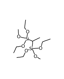 CCO[Si](OC)(OCC)C(C)[Si](OC)(OCC)OCC